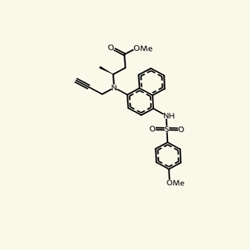 C#CCN(c1ccc(NS(=O)(=O)c2ccc(OC)cc2)c2ccccc12)[C@@H](C)CC(=O)OC